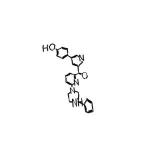 O=C(c1cncc(-c2ccc(O)cc2)c1)c1cccc(N2CCNC(c3ccccc3)C2)n1